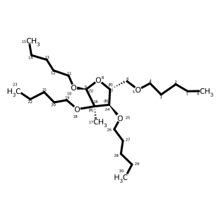 CCCCCOC[C@H]1O[C@H](OCCCCC)[C@](C)(OCCCCC)[C@@H]1OCCCCC